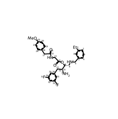 CCc1cccc(CNC[C@@H](OC(=O)CNC(=O)Cc2ccc(OC)cc2)[C@@H](N)Cc2cc(F)cc(F)c2)c1